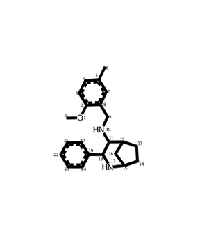 COc1ccc(C)cc1CNC1C2CCC(C2)NC1c1ccccc1